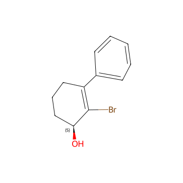 O[C@H]1CCCC(c2ccccc2)=C1Br